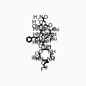 CCCCCCC[C@H](NC(=O)[C@@H](Cc1ccccc1)NC)C(=O)N[C@@H](CO)C(=O)N[C@H](CCC(N)=O)C(=O)N[C@@H](C(=O)N[C@H](C(=O)N[C@@H](CO)C(=O)N[C@H]1C(=O)N[C@@H](C)C(=O)NC2(CC2CC(F)F)C(=O)N[C@@H]([C@@H](C)CC)C(=O)O[C@H]1C)[C@@H](C)CC)[C@@H](C)CC